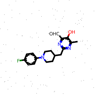 Cc1nc(CC2CCN(c3ccc(F)cc3)CC2)nc([C]=O)c1O